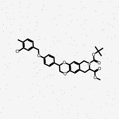 COC(=O)C1Cc2cc3c(cc2CN1C(=O)OC(C)(C)C)OC(c1ccc(OCc2ccc(C)c(Cl)c2)cc1)CO3